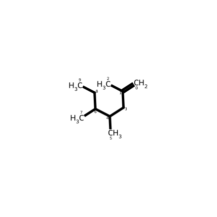 C=C(C)CC(C)C(C)CC